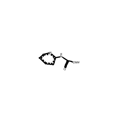 [CH2]OC(=O)Nc1ccccn1